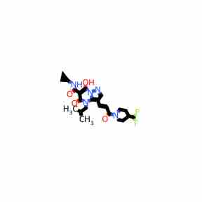 CC(C)Cn1c(=O)c(C(=O)NC2CC2)c(O)n2ncc(/C=C/C(=O)N3CCC(C(F)F)CC3)c12